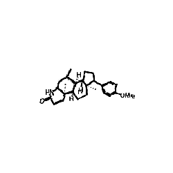 COc1ccc(C2CC[C@H]3[C@@H]4C(C)CC5NC(=O)C=C[C@]5(C)[C@@H]4CC[C@]23C)cc1